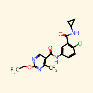 O=C(NC1CC1)c1cc(NC(=O)c2cnc(OCC(F)(F)F)nc2C(F)(F)F)ccc1Cl